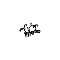 C=C(C)CC1(CC)CCN(C)C(=O)O1